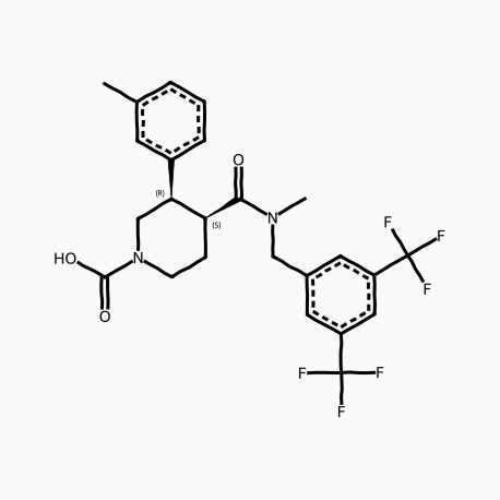 Cc1cccc([C@@H]2CN(C(=O)O)CC[C@@H]2C(=O)N(C)Cc2cc(C(F)(F)F)cc(C(F)(F)F)c2)c1